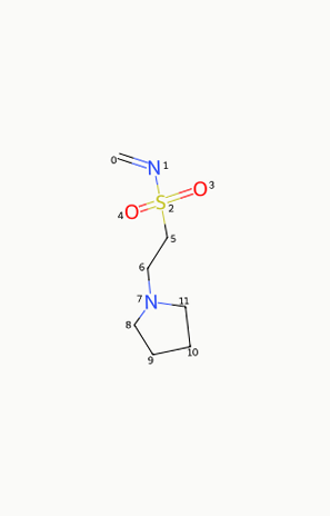 C=NS(=O)(=O)CCN1CCCC1